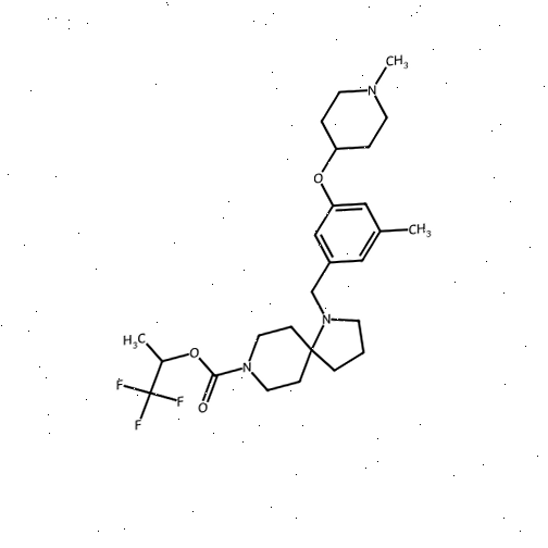 Cc1cc(CN2CCCC23CCN(C(=O)OC(C)C(F)(F)F)CC3)cc(OC2CCN(C)CC2)c1